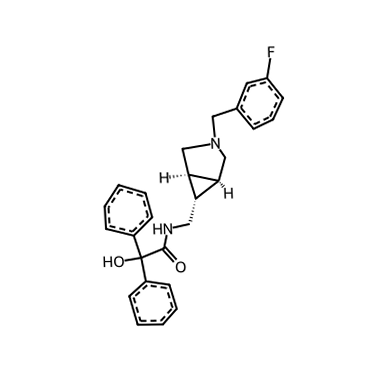 O=C(NC[C@@H]1[C@H]2CN(Cc3cccc(F)c3)C[C@@H]12)C(O)(c1ccccc1)c1ccccc1